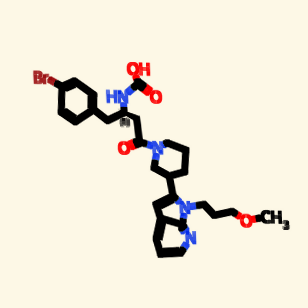 COCCCn1c(C2CCCN(C(=O)C[C@@H](Cc3ccc(Br)cc3)NC(=O)O)C2)cc2cccnc21